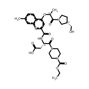 CCOC(=O)N1CCN(C(=O)[C@H](CC(=O)O)NC(=O)c2cc(O[C@@H](C)C(=O)N3CC[C@H](CO)C3)c3ccc(C)cc3n2)CC1